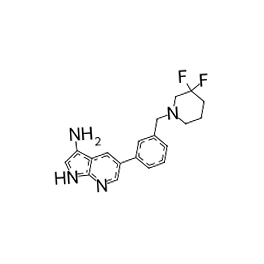 Nc1c[nH]c2ncc(-c3cccc(CN4CCCC(F)(F)C4)c3)cc12